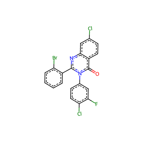 O=c1c2ccc(Cl)cc2nc(-c2ccccc2Br)n1-c1ccc(Cl)c(F)c1